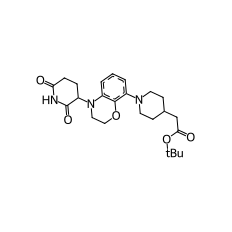 CC(C)(C)OC(=O)CC1CCN(c2cccc3c2OCCN3C2CCC(=O)NC2=O)CC1